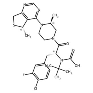 C[C@@H]1SCc2ncnc(N3CCN(C(=O)[C@@H](Cc4ccc(Cl)c(F)c4)N(C(=O)O)C(C)(C)C)C[C@@H]3C)c21